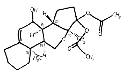 CC(=O)OC1(OC(C)=O)CC[C@H]2[C@@H]3C(O)C=C4CCCC[C@]4(C)[C@@H]3CC[C@@]21C